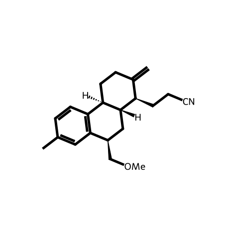 C=C1CC[C@@H]2c3ccc(C)cc3[C@H](COC)C[C@H]2[C@@H]1CCC#N